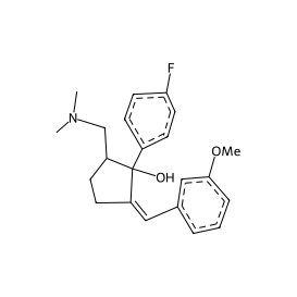 COc1cccc(C=C2CCC(CN(C)C)C2(O)c2ccc(F)cc2)c1